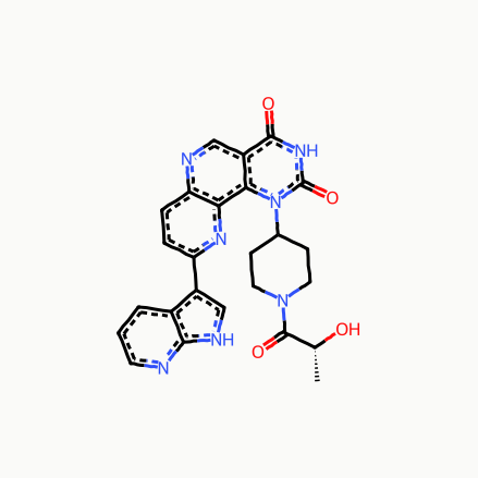 C[C@@H](O)C(=O)N1CCC(n2c(=O)[nH]c(=O)c3cnc4ccc(-c5c[nH]c6ncccc56)nc4c32)CC1